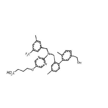 Cc1cc(CN(Cc2cc(C)ccc2-c2cc(CO)ccc2C)c2ncc(OCCCC(=O)O)cn2)cc(C(F)(F)F)c1